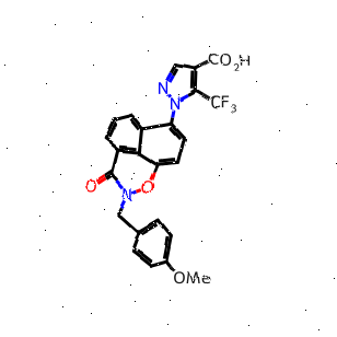 COc1ccc(CN2Oc3ccc(-n4ncc(C(=O)O)c4C(F)(F)F)c4cccc(c34)C2=O)cc1